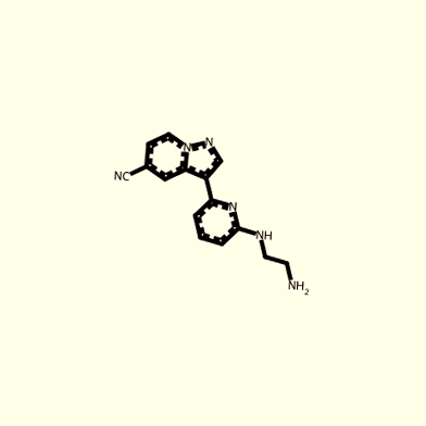 N#Cc1ccn2ncc(-c3cccc(NCCN)n3)c2c1